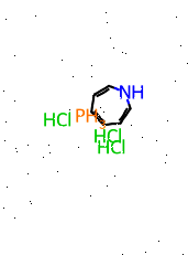 C1=CC=CNC=C1.Cl.Cl.Cl.P